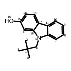 CC(C)(C)Cn1c2ccccc2c2ccc(O)cc21